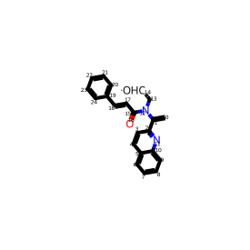 C=C(c1ccc2ccccc2n1)N(C[C]=O)C(=O)/C=C/c1ccccc1